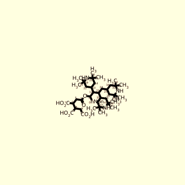 CCCCCCCCCC(OC(=O)CC(C(=O)O)C(CC(=O)O)C(=O)O)C(C1CC(C)(C)NC(C)(C)C1)C(CC1CC(C)(C)NC(C)(C)C1)C1CC(C)(C)NC(C)(C)C1